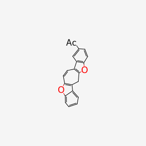 CC(=O)c1ccc2oc3c(c2c1)C=Cc1oc2ccccc2c1C3